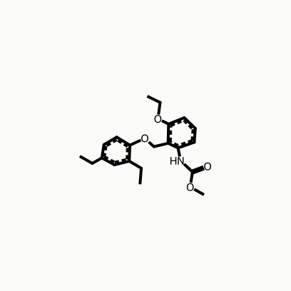 CCOc1cccc(NC(=O)OC)c1COc1ccc(CC)cc1CC